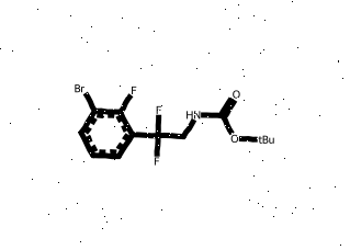 CC(C)(C)OC(=O)NCC(F)(F)c1cccc(Br)c1F